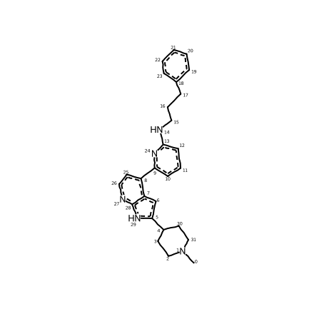 CN1CCC(c2cc3c(-c4cccc(NCCCc5ccccc5)n4)ccnc3[nH]2)CC1